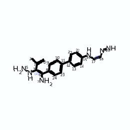 C=C(C)/C(NN)=C(/N)c1ccc(-c2ccc(N/C=C\N=N)cc2)cc1